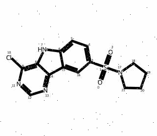 O=S(=O)(c1ccc2[nH]c3c(Cl)ncnc3c2c1)N1CCCC1